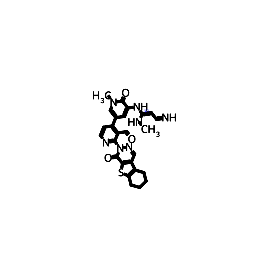 CN/C(=C\C=N)Nc1cc(-c2ccnc(-n3ncc4c5c(sc4c3=O)CCCC5)c2C=O)cn(C)c1=O